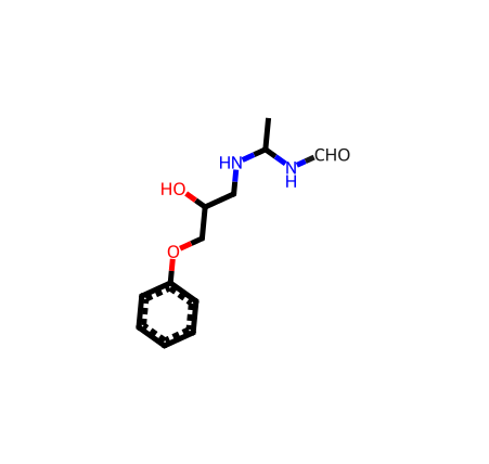 CC(NC=O)NCC(O)COc1ccccc1